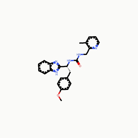 COc1ccc(C[C@@H](NC(=O)NCc2ncccc2C)c2nc3ccccc3[nH]2)cc1